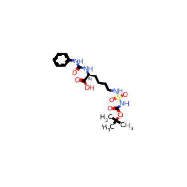 CC(C)(C)OC(=O)NS(=O)(=O)NCCCC[C@H](NC(=O)Nc1ccccc1)C(=O)O